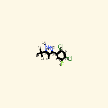 Cc1c(-c2cc(F)c(Cl)cc2Cl)nn(C)c1C(C)(C)C